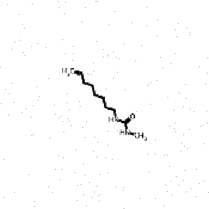 C=CCCCCCCNC(=O)NC